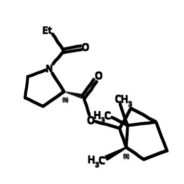 CCC(=O)N1CCC[C@H]1C(=O)OC1CC2CC[C@@]1(C)C2(C)C